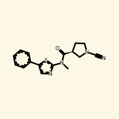 CN(C(=O)[C@H]1CCN(C#N)C1)c1ncc(-c2ccccc2)s1